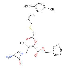 C=CCSCC(=O)OC(C(=O)OCc1ccccc1)=C(C)CN1C[C@H](N)C1=O.Cc1ccc(S(=O)(=O)O)cc1